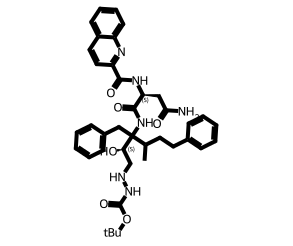 CC(CCc1ccccc1)C(Cc1ccccc1)(NC(=O)[C@H](CC(N)=O)NC(=O)c1ccc2ccccc2n1)[C@@H](O)CNNC(=O)OC(C)(C)C